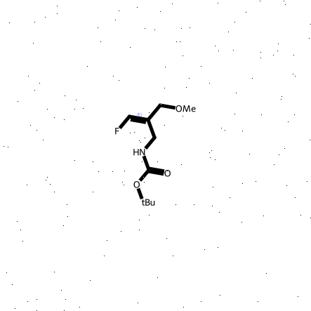 COC/C(=C/F)CNC(=O)OC(C)(C)C